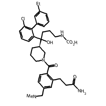 CCc1cccc(-c2c(Cl)cccc2C(O)(CCCNC(=O)O)[C@@H]2CCCN(C(=O)c3ccc(CNC)cc3CCC(N)=O)C2)c1